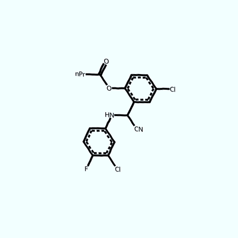 CCCC(=O)Oc1ccc(Cl)cc1C(C#N)Nc1ccc(F)c(Cl)c1